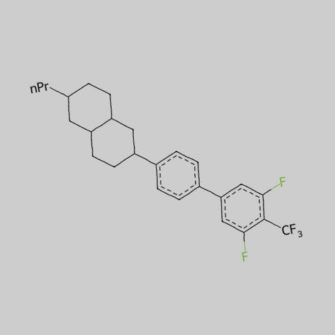 CCCC1CCC2CC(c3ccc(-c4cc(F)c(C(F)(F)F)c(F)c4)cc3)CCC2C1